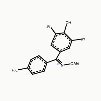 CO/N=C(/c1ccc(C(F)(F)F)cc1)c1cc(C(C)C)c(O)c(C(C)C)c1